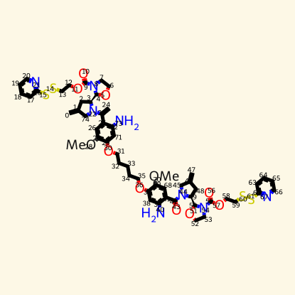 C=C1C[C@@H](C2OCCN2C(=O)OCCSSc2ccccn2)N(C(=C)c2cc(OC)c(OCCCCCOc3cc(N)c(C(=O)N4CC(=C)C[C@H]4C4OCCN4C(=O)OCCSSc4ccccn4)cc3OC)cc2N)C1